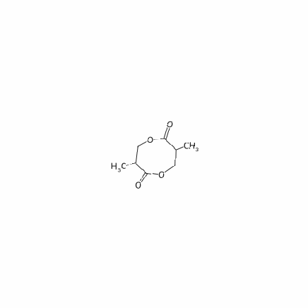 CC1COC(=O)C(C)COC1=O